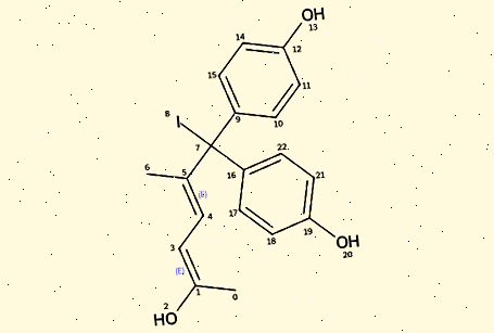 C/C(O)=C\C=C(/C)C(I)(c1ccc(O)cc1)c1ccc(O)cc1